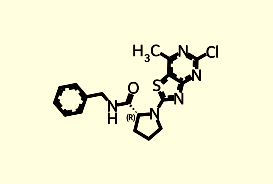 Cc1nc(Cl)nc2nc(N3CCC[C@@H]3C(=O)NCc3ccccc3)sc12